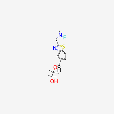 CN(F)Cc1nc2cc(BOC(C)(C)C(C)(C)O)ccc2s1